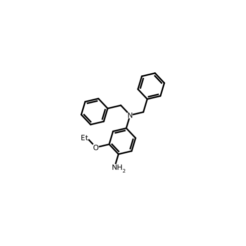 CCOc1cc(N(Cc2ccccc2)Cc2ccccc2)ccc1N